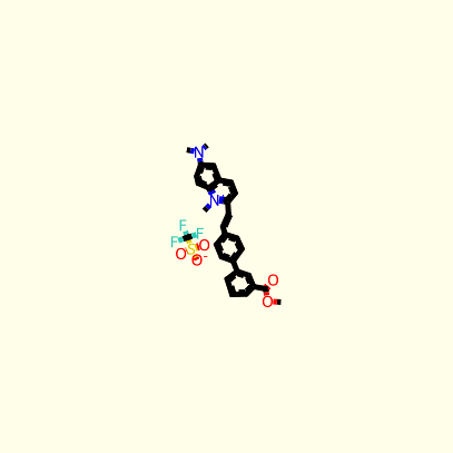 COC(=O)c1cccc(-c2ccc(C=Cc3ccc4cc(N(C)C)ccc4[n+]3C)cc2)c1.O=S(=O)([O-])C(F)(F)F